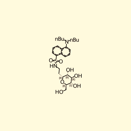 CCCCN(CCCC)c1cccc2c(S(=O)(=O)NCC[C@H]3O[C@H](CO)[C@@H](O)[C@H](O)[C@H]3O)cccc12